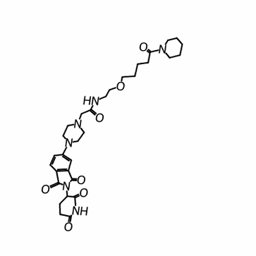 O=C(CN1CCN(c2ccc3c(c2)C(=O)N(C2CCC(=O)NC2=O)C3=O)CC1)NCCOCCCCC(=O)N1CCCCC1